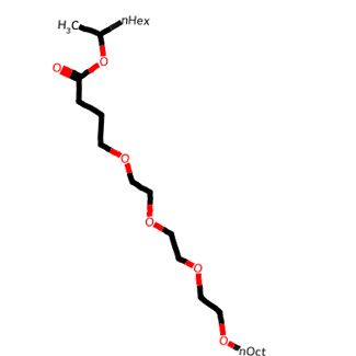 CCCCCCCCOCCOCCOCCOCCCC(=O)OC(C)CCCCCC